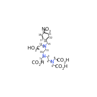 O=C(O)CN(CCN(CC(=O)O)CC(=O)O)CCN(CC(=O)O)Cc1ccc([N+](=O)[O-])cc1